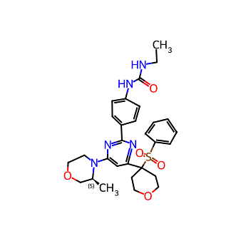 CCNC(=O)Nc1ccc(-c2nc(N3CCOC[C@@H]3C)cc(C3(S(=O)(=O)c4ccccc4)CCOCC3)n2)cc1